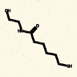 O=C(CCCCCS)NCCO